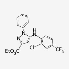 CCOC(=O)c1cc(Nc2ccc(C(F)(F)F)cc2Cl)n(-c2ccccc2)n1